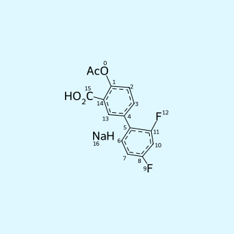 CC(=O)Oc1ccc(-c2ccc(F)cc2F)cc1C(=O)O.[NaH]